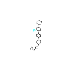 CCC1CCC(c2ccc(-c3ccc(C4CCCCC4)cc3F)cc2)CC1